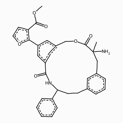 COC(=O)c1ccoc1-c1cc2cc(c1)C(=O)NC(c1ccccc1)CCc1cccc(c1)CC(C)(N)C(=O)OC2